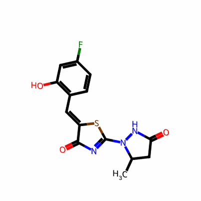 CC1CC(=O)NN1C1=NC(=O)/C(=C/c2ccc(F)cc2O)S1